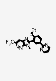 CCSc1ccc(-c2ncccn2)cc1-c1nc2cc(C(F)(F)F)nnc2n1C